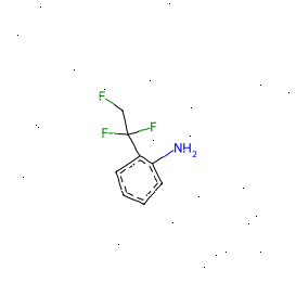 Nc1ccccc1C(F)(F)CF